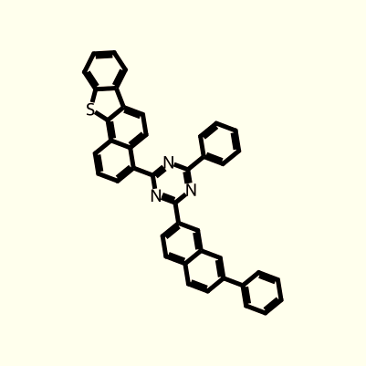 c1ccc(-c2ccc3ccc(-c4nc(-c5ccccc5)nc(-c5cccc6c5ccc5c7ccccc7sc65)n4)cc3c2)cc1